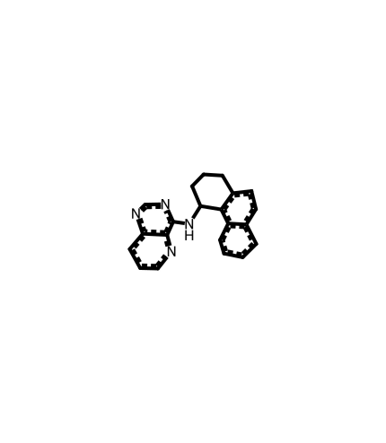 c1ccc2c3c(ccc2c1)CCCC3Nc1ncnc2cccnc12